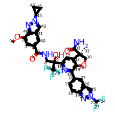 COc1cc(C(=O)NCC(O)(c2cc3c(c(-c4ccc5nn(C(F)F)cc5c4)n2)OC[C@]3(C)C(N)=O)C(F)(F)F)cc2cn(C3CC3)nc12